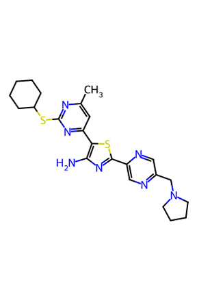 Cc1cc(-c2sc(-c3cnc(CN4CCCC4)cn3)nc2N)nc(SC2CCCCC2)n1